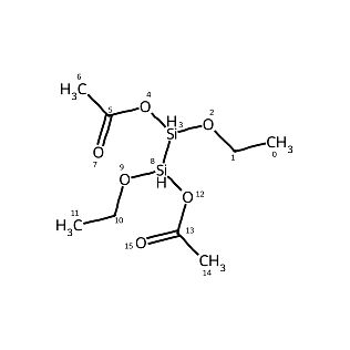 CCO[SiH](OC(C)=O)[SiH](OCC)OC(C)=O